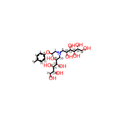 [CH2]c1ccc(OCCN(C[C@H](O)[C@@H](O)[C@H](O)[C@H](O)CO)C[C@H](O)[C@@H](O)[C@H](O)[C@H](O)CO)cc1